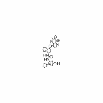 Cc1nc2c(Oc3ccc(NC(=O)Nc4cc(O)nn4-c4ccccc4)c4ccccc34)ccnc2[nH]c1=O